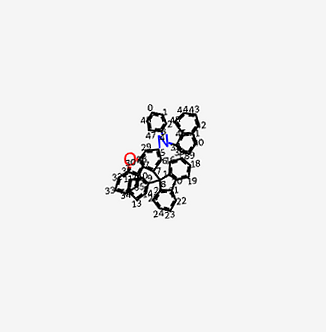 c1ccc(N(c2cc(C3(c4ccccc4)c4ccccc4-c4ccccc43)c3c(c2)oc2ccccc23)c2cccc3ccccc23)cc1